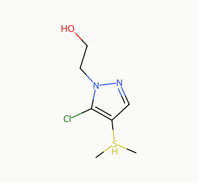 C[SH](C)c1cnn(CCO)c1Cl